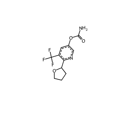 NC(=O)Oc1cnc(C2CCCO2)c(C(F)(F)F)c1